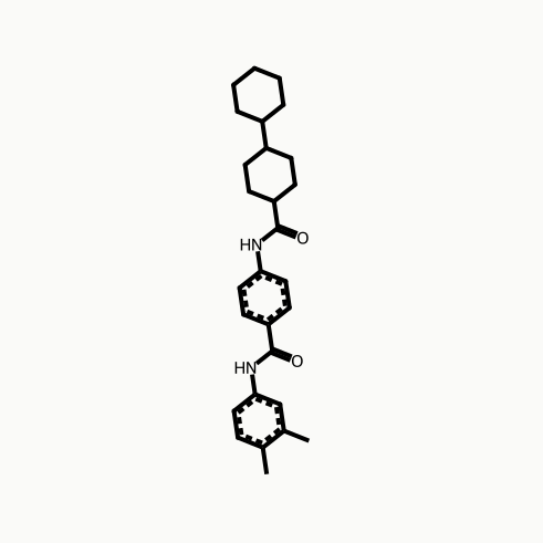 Cc1ccc(NC(=O)c2ccc(NC(=O)C3CCC(C4CCCCC4)CC3)cc2)cc1C